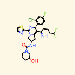 N=C(/C=C\CC(F)F)C1=C2C[C@H](NC(=O)N3CCC[C@H](O)C3)CN2C(c2nccs2)=N[C@H]1c1ccc(F)cc1Cl